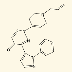 C=CCN1CC=C(n2ccc(=O)c(-c3ccnn3-c3ccccc3)n2)CC1